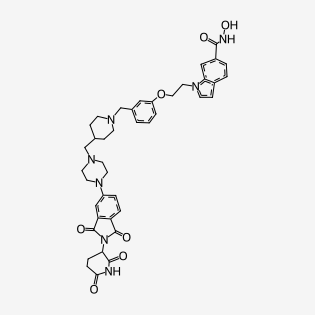 O=C1CCC(N2C(=O)c3ccc(N4CCN(CC5CCN(Cc6cccc(OCCn7ccc8ccc(C(=O)NO)cc87)c6)CC5)CC4)cc3C2=O)C(=O)N1